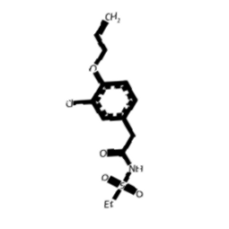 C=CCOc1ccc(CC(=O)NS(=O)(=O)CC)cc1Cl